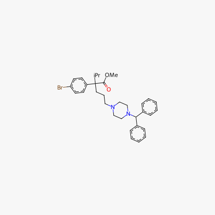 COC(=O)C(CCCN1CCN(C(c2ccccc2)c2ccccc2)CC1)(c1ccc(Br)cc1)C(C)C